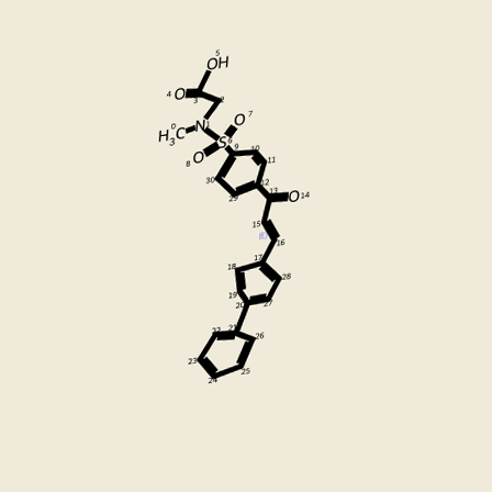 CN(CC(=O)O)S(=O)(=O)c1ccc(C(=O)/C=C/c2ccc(-c3ccccc3)cc2)cc1